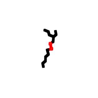 CCCCCCOOCC(CC)CCC